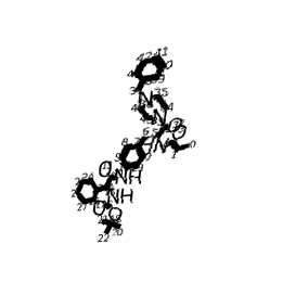 CCC(=O)N[C@H](Cc1ccc(NC(=O)[C@@H](NC(=O)OC(C)(C)C)C2CCCCC2)cc1)C(=O)N1CCN(Cc2ccccc2)CC1